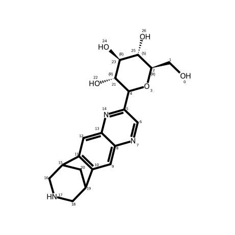 OC[C@H]1OC(c2cnc3cc4c(cc3n2)C2CNCC4C2)[C@H](O)[C@@H](O)[C@@H]1O